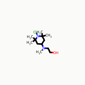 CN(CCO)C1CC(C)(C)N(Cl)C(C)(C)C1